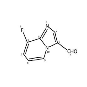 O=Cc1cnc2c(F)cccn12